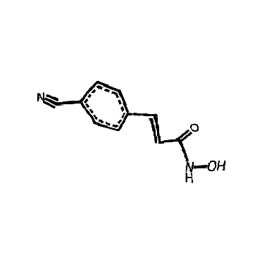 N#Cc1ccc(/C=C/C(=O)NO)cc1